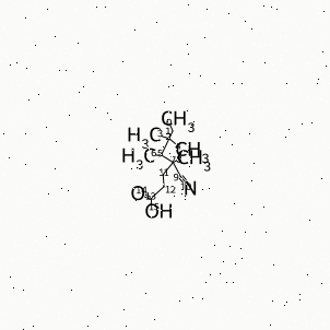 CCC(C)(C)C(C)C(C)(C#N)CCC(=O)O